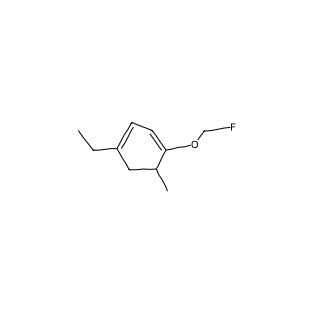 CCC1=CC=C(OCF)C(C)C1